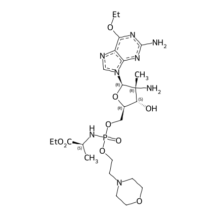 CCOC(=O)[C@H](C)NP(=O)(OCCN1CCOCC1)OC[C@H]1O[C@@H](n2cnc3c(OCC)nc(N)nc32)[C@](C)(N)[C@@H]1O